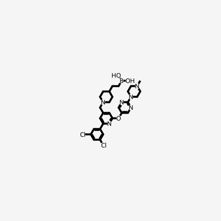 CN1CCN(c2ncc(Oc3cc(CN4CCC(CCB(O)O)CC4)cc(-c4cc(Cl)cc(Cl)c4)n3)cn2)CC1